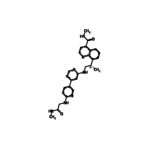 CNC(=O)CNc1ccc(-c2cc(NC[C@@H](C)c3cccc4c(C(=O)NC)ccnc34)ncn2)cn1